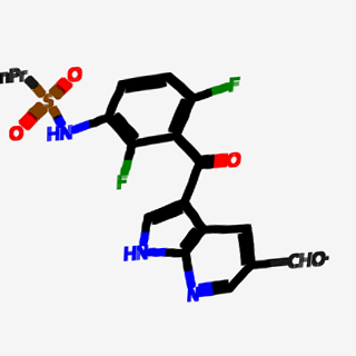 CCCS(=O)(=O)Nc1ccc(F)c(C(=O)c2c[nH]c3ncc([C]=O)cc23)c1F